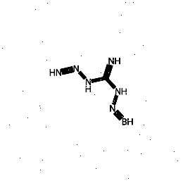 B=NNC(=N)NN=N